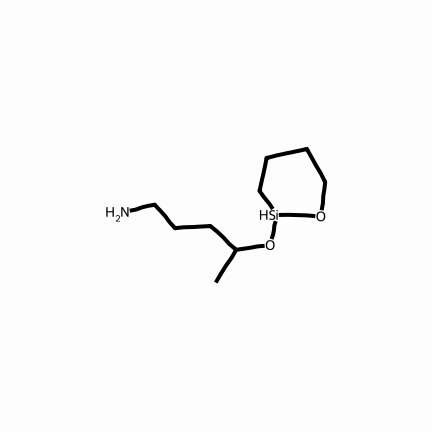 CC(CCCN)O[SiH]1CCCCO1